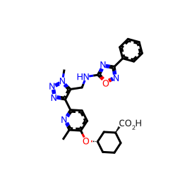 Cc1nc(-c2nnn(C)c2CNc2nc(-c3ccccc3)no2)ccc1O[C@H]1CCC[C@H](C(=O)O)C1